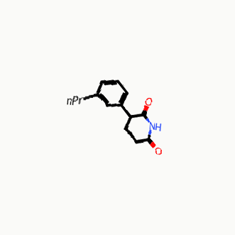 CCCc1cccc(C2CCC(=O)NC2=O)c1